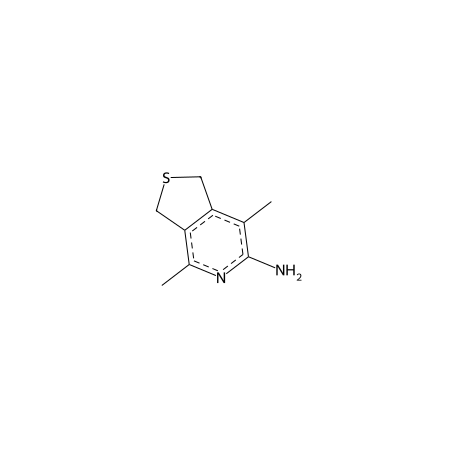 Cc1nc(N)c(C)c2c1CSC2